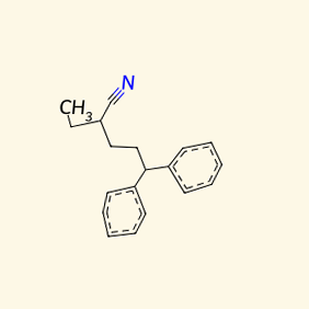 CCC(C#N)CCC(c1ccccc1)c1ccccc1